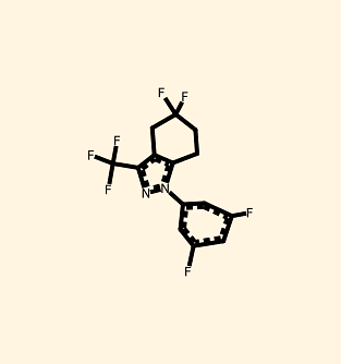 Fc1cc(F)cc(-n2nc(C(F)(F)F)c3c2CCC(F)(F)C3)c1